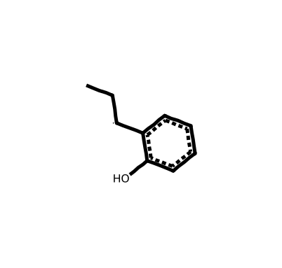 CC[CH]c1ccccc1O